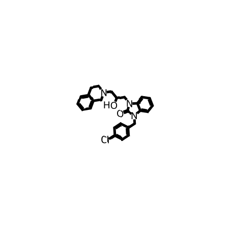 O=c1n(Cc2ccc(Cl)cc2)c2ccccc2n1CC(O)CN1CCc2ccccc2C1